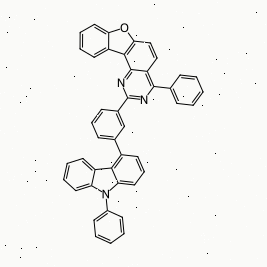 c1ccc(-c2nc(-c3cccc(-c4cccc5c4c4ccccc4n5-c4ccccc4)c3)nc3c2ccc2oc4ccccc4c23)cc1